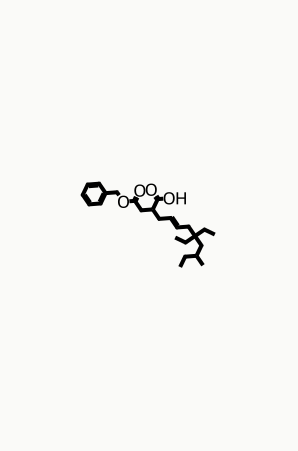 CCC(C)CC(CC)(CC)C/C=C/CC(CC(=O)OCc1ccccc1)C(=O)O